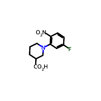 O=C(O)C1CCCN(c2cc(F)ccc2[N+](=O)[O-])C1